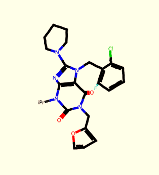 CC(C)n1c(=O)n(Cc2ccco2)c(=O)c2c1nc(N1CCCCC1)n2Cc1c(F)cccc1Cl